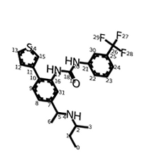 CCC(C)NC(C)c1ccc(-c2ccsc2)c(NC(=O)Nc2cccc(C(F)(F)F)c2)c1